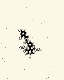 COC(=O)C1=C(C)NC(C)=C(C(=O)OC)C1c1cccc(Nc2nc(-c3ccc(Cl)cc3Cl)cs2)c1